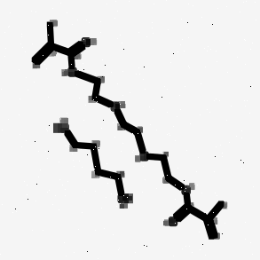 C=C(C)C(=O)OCCOCCOCCOC(=O)C(=C)C.OCCCCO